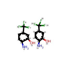 Nc1ccc(C(F)(F)F)cc1O.Nc1ccc(C(F)(F)F)cc1O